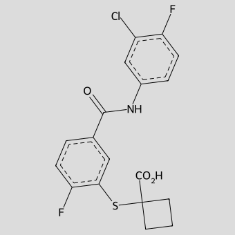 O=C(Nc1ccc(F)c(Cl)c1)c1ccc(F)c(SC2(C(=O)O)CCC2)c1